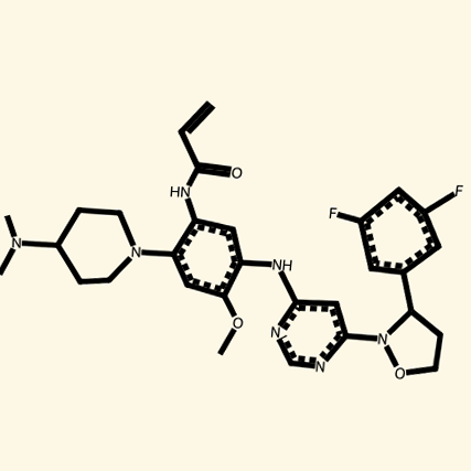 C=CC(=O)Nc1cc(Nc2cc(N3OCCC3c3cc(F)cc(F)c3)ncn2)c(OC)cc1N1CCC(N(C)C)CC1